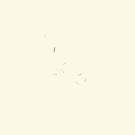 O=C(CC(O)C=CCCCl)N1C(=S)SCC1Cc1ccccc1